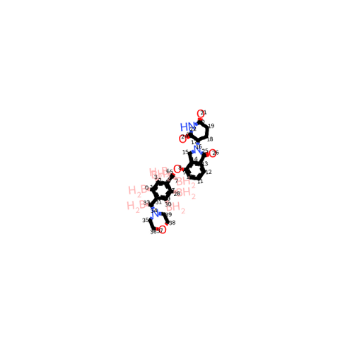 Bc1c(B)c(C(B)(B)Oc2cccc3c2CN(C2CCC(=O)NC2=O)C3=O)c(B)c(B)c1C(B)N1CCOCC1